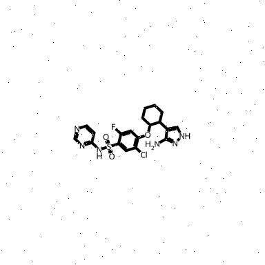 Nc1n[nH]cc1C1CCCCC1Oc1cc(F)c(S(=O)(=O)Nc2ccncn2)cc1Cl